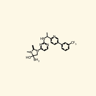 BC1(O)CN(c2ccnc(NC(C)c3ccc(-c4cccc(C(F)(F)F)c4)cn3)n2)C(=C)N1C